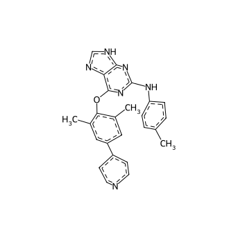 Cc1ccc(Nc2nc(Oc3c(C)cc(-c4ccncc4)cc3C)c3nc[nH]c3n2)cc1